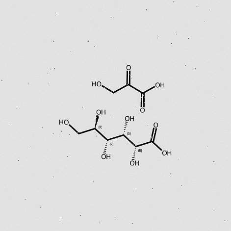 O=C(O)C(=O)CO.O=C(O)[C@H](O)[C@@H](O)[C@H](O)[C@H](O)CO